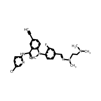 C#Cc1ccc(N(C=O)c2ccc(C=NN(C)CCN(C)C)cc2F)c(C(=O)Nc2ccc(Cl)cn2)c1